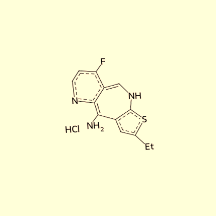 CCc1cc2c(s1)NC=c1c(F)ccnc1=C2N.Cl